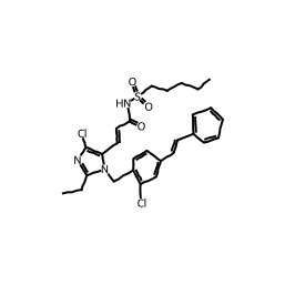 CCCCCS(=O)(=O)NC(=O)C=Cc1c(Cl)nc(CC)n1Cc1ccc(C=Cc2ccccc2)cc1Cl